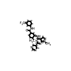 Cc1ccc(C(=O)Nc2cccc(C(F)(F)F)c2)cc1Nc1nc(-c2cncnc2)nc2c1cnn2C